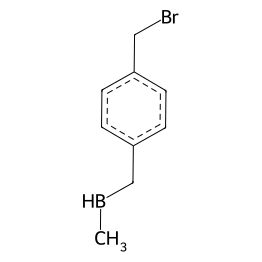 CBCc1ccc(CBr)cc1